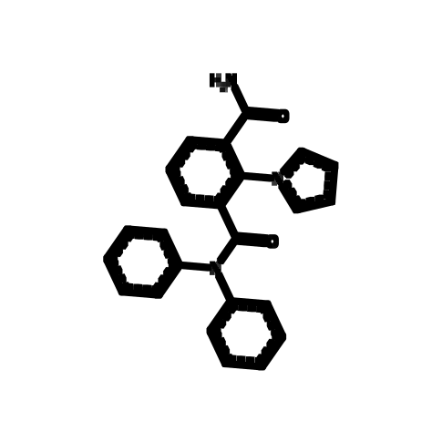 NC(=O)c1cccc(C(=O)N(c2ccccc2)c2ccccc2)c1-n1cccc1